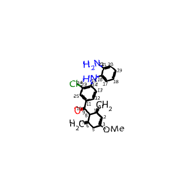 C=C1C=C(OC)CC(=C)C1C(=O)c1ccc(Nc2ccccc2N)c(Cl)c1